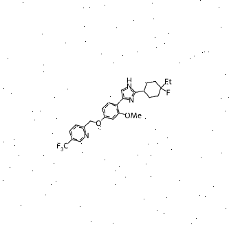 CCC1(F)CCC(c2nc(-c3ccc(OCc4ccc(C(F)(F)F)cn4)cc3OC)c[nH]2)CC1